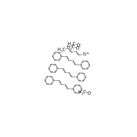 C(C=Cc1ccccc1)=Cc1ccccc1.C(C=Cc1ccccc1)=Cc1ccccc1.C(C=Cc1ccccc1)=Cc1ccccc1.CC=CC=[CH][Ti+3].C[O-].C[O-].C[O-]